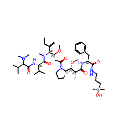 C=C(CC)[C@@H]([C@@H](CC(=O)N1CCC[C@H]1[C@H](OC)[C@@H](C)C(=O)N[C@@H](Cc1ccccc1)C(=O)NCCC[Si](C)(C)O)OC)N(C)C(=O)[C@@H](NC(=O)C(C(C)C)N(C)C)C(C)C